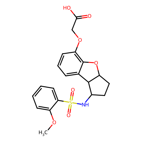 COc1ccccc1S(=O)(=O)NC1CCC2Oc3c(OCC(=O)O)cccc3C12